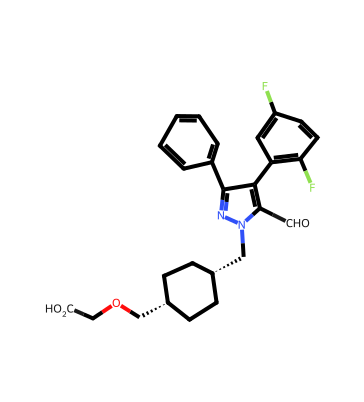 O=Cc1c(-c2cc(F)ccc2F)c(-c2ccccc2)nn1C[C@H]1CC[C@@H](COCC(=O)O)CC1